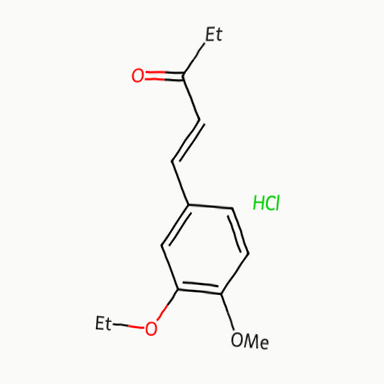 CCOc1cc(C=CC(=O)CC)ccc1OC.Cl